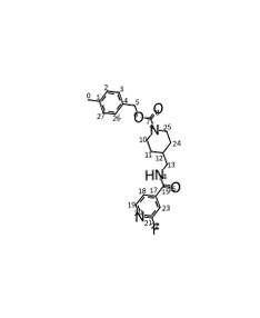 Cc1ccc(COC(=O)N2CCC(CNC(=O)c3ccnc(F)c3)CC2)cc1